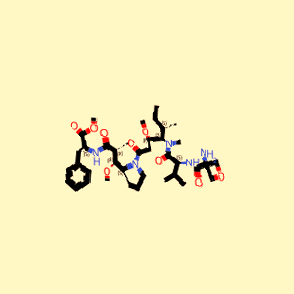 CC[C@H](C)[C@@H]([C@@H](CC(=O)N1CCC[C@H]1[C@H](OC)[C@@H](C)C(=O)N[C@@H](Cc1ccccc1)C(=O)OC)OC)N(C)C(=O)[C@@H](NC(=O)C1(N)COC1)C(C)C